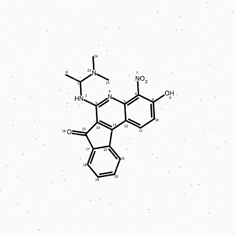 CC(Nc1nc2c([N+](=O)[O-])c(O)ccc2c2c1C(=O)c1ccccc1-2)N(C)C